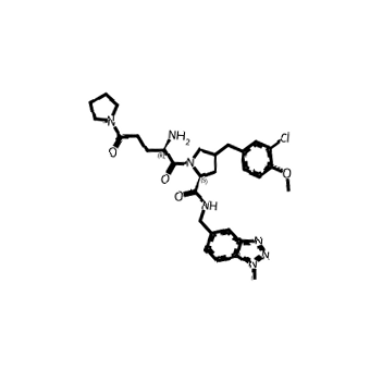 COc1ccc(CC2C[C@@H](C(=O)NCc3ccc4c(c3)nnn4C)N(C(=O)[C@H](N)CCC(=O)N3CCCC3)C2)cc1Cl